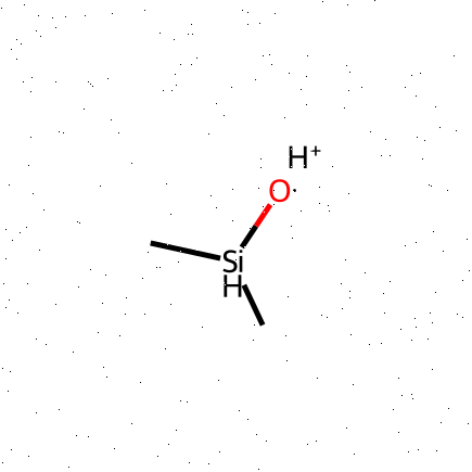 C[SiH](C)[O].[H+]